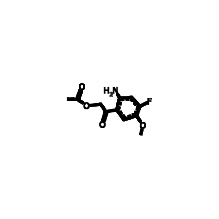 COc1cc(C(=O)COC(C)=O)c(N)cc1F